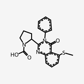 CSc1cccc2nc(C3CCCN3C(=O)O)n(-c3ccccc3)c(=O)c12